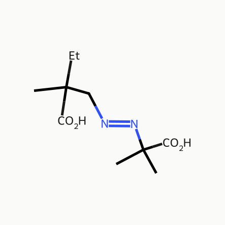 CCC(C)(CN=NC(C)(C)C(=O)O)C(=O)O